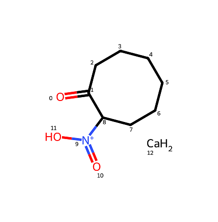 O=C1CCCCCCC1[N+](=O)O.[CaH2]